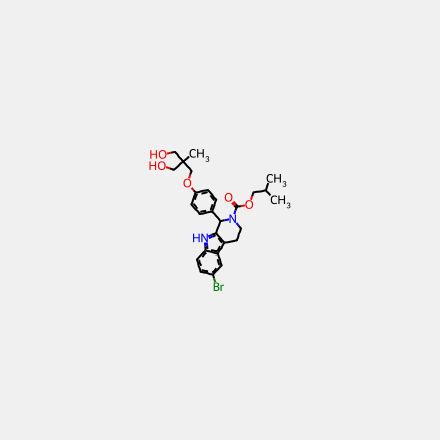 CC(C)COC(=O)N1CCc2c([nH]c3ccc(Br)cc23)C1c1ccc(OCC(C)(CO)CO)cc1